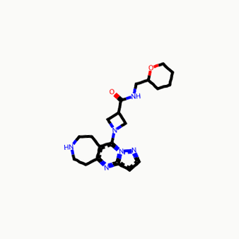 O=C(NCC1CCCCO1)C1CN(c2c3c(nc4ccnn24)CCNCC3)C1